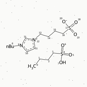 CCCCS(=O)(=O)O.CCCCn1cc[n+](CCCCS(=O)(=O)[O-])c1